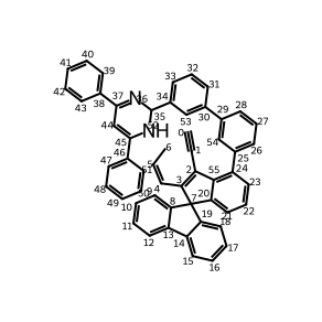 C#CC1=C(/C=C\C)C2(c3ccccc3-c3ccccc32)c2cccc(-c3cccc(-c4cccc(C5N=C(c6ccccc6)C=C(c6ccccc6)N5)c4)c3)c21